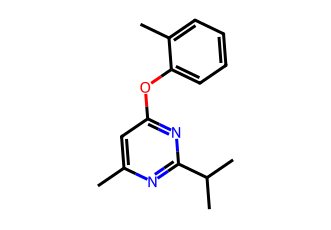 Cc1cc(Oc2ccccc2C)nc(C(C)C)n1